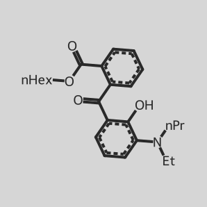 CCCCCCOC(=O)c1ccccc1C(=O)c1cccc(N(CC)CCC)c1O